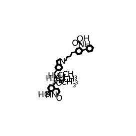 CC(C)(C)[Si](C)(C)O[C@H](CNCc1ccc2c(ccn2CCCCc2ccc(-c3ccccc3)c(NC(=O)O)c2)c1)c1ccc(O)c2[nH]c(=O)ccc12